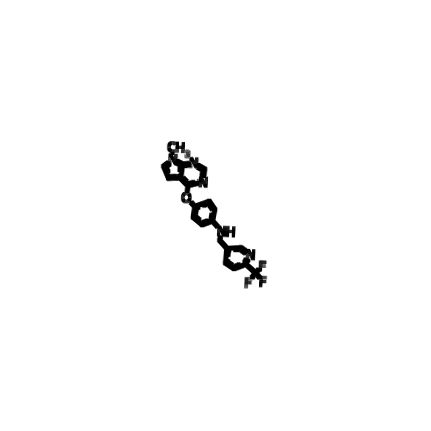 Cn1ccc2c(Oc3ccc(NCc4ccc(C(F)(F)F)nc4)cc3)ncnc21